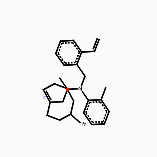 C=Cc1ccccc1CN(c1ccccc1C)C(C)C/C1=C\CCCC(C(C)C)CC1